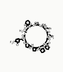 CC(C)C[C@@H]1NC(=O)[C@H](CC(C)C)N(C)C(=O)C[C@H](C(=O)N2CCCC2)N(C)C(=O)[C@H](C2CCCCC2)N(C)C(=O)C2(CCCC2)NC(=O)[C@@H]2CCCN2C(=O)[C@H](CCc2ccc(C(F)(F)F)c(Cl)c2)NC(=O)CN(C)C(=O)[C@H](CC2CCCCC2)N(C)C(=O)CN(C)C(=O)CN(C)C1=O